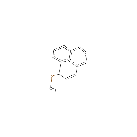 CSC1C=Cc2cccc3cccc1c23